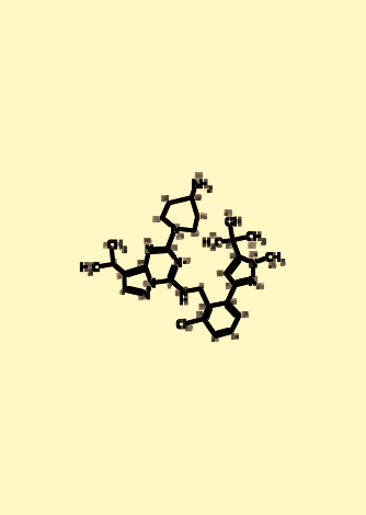 CC(C)c1cnn2c(NCc3c(Cl)cccc3-c3cc(C(C)(C)O)n(C)n3)nc(N3CCC(N)CC3)nc12